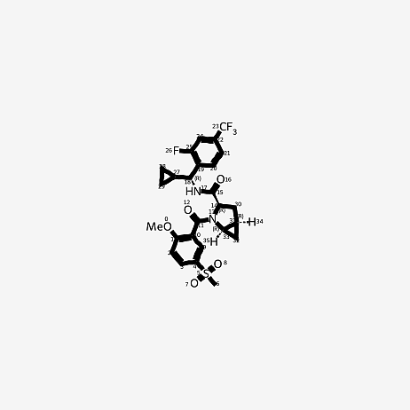 COc1ccc(S(C)(=O)=O)cc1C(=O)N1[C@@H](C(=O)N[C@@H](c2ccc(C(F)(F)F)cc2F)C2CC2)C[C@H]2C[C@H]21